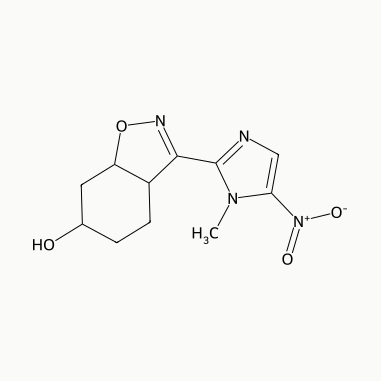 Cn1c([N+](=O)[O-])cnc1C1=NOC2CC(O)CCC12